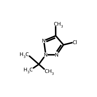 Cc1nn(C(C)(C)C)nc1Cl